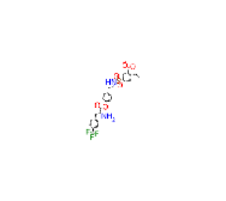 CCc1ccc(S(=O)(=O)NCCc2ccc(OC(=O)[C@@H](N)Cc3ccc(C(F)(F)F)cc3)cc2)cc1C(=O)OC